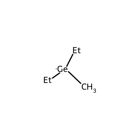 C[CH2][Ge]([CH3])[CH2]C